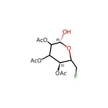 CC(=O)OC1C(OC(C)=O)[C@H](O)OC(CF)[C@H]1OC(C)=O